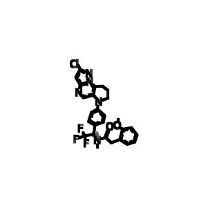 COc1ccccc1CC(=O)N(C)[C@@H](c1ccc(N2CCCc3c2cnc2cc(Cl)nn32)cc1)C(F)(F)F